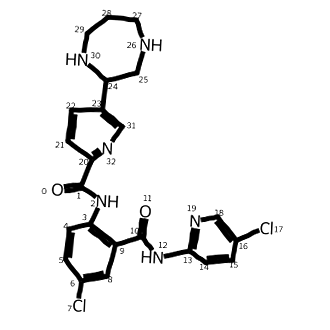 O=C(Nc1ccc(Cl)cc1C(=O)Nc1ccc(Cl)cn1)c1ccc(C2CNCCCN2)cn1